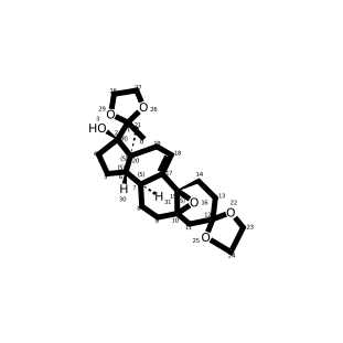 CC1([C@@]2(O)CC[C@H]3[C@@H]4CCC56CC7(CC[C@]5(O6)C4=CC[C@@]32C)OCCO7)OCCO1